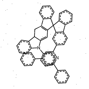 C1=C2C(CC3=C1C1(c4ccccc43)c3ccccc3-c3ccc(-c4cc(-c5ccccc5)nc(-c5ccccc5)n4)cc31)c1ccccc1N2c1ccccc1